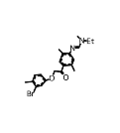 CCN(C)C=Nc1cc(C)c(C(=O)COc2ccc(C)c(Br)c2)cc1C